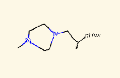 CCCCCCC(C)CN1CCN(C)CC1